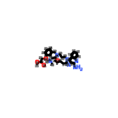 CCCCc1nc2c(N)nc3ccccc3c2n1CCCN(Cc1cccc(OCC(=O)OC)c1)C(=O)CN(C)C